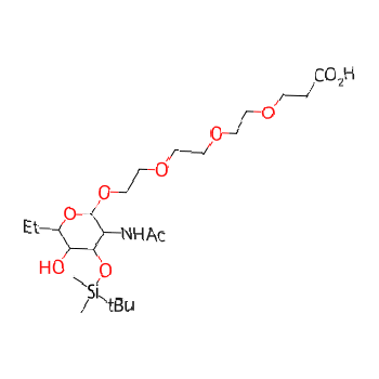 CCC1OC(OCCOCCOCCOCCC(=O)O)C(NC(C)=O)C(O[Si](C)(C)C(C)(C)C)C1O